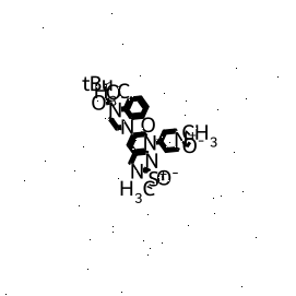 Cc1cccc2c1N(C(=O)OC(C)(C)C)CCN2c1cc2cnc([S+](C)[O-])nc2n(C2CC[N+](C)([O-])CC2)c1=O